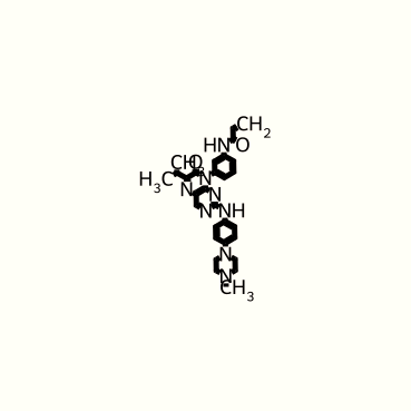 C=CC(=O)Nc1cccc(-n2c(=O)c(C(C)C)nc3cnc(Nc4ccc(N5CCN(C)CC5)cc4)nc32)c1